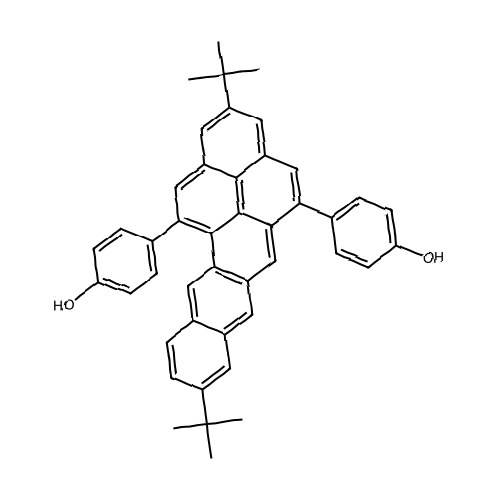 CC(C)(C)c1ccc2cc3c(cc2c1)cc1c(-c2ccc(O)cc2)cc2cc(C(C)(C)C)cc4cc(-c5ccc(O)cc5)c3c1c24